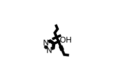 CCC#CC(O)(c1cncnc1)C(C)(C)CCC